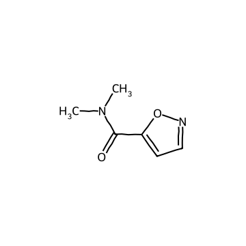 CN(C)C(=O)c1ccno1